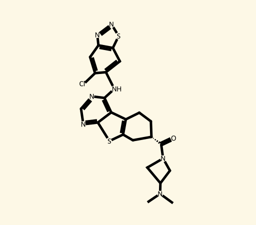 CN(C)C1CN(C(=O)[C@H]2CCc3c(sc4ncnc(Nc5cc6snnc6cc5Cl)c34)C2)C1